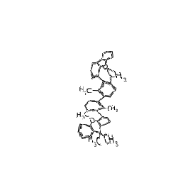 Cc1ccc(-c2ccc(C)c(-c3cccc4c3oc3ccccc34)c2C)c(C)c1-c1cccc2c1Oc1ccccc1C2(C)C